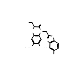 COc1cc2c(cc1OC)N(Cc1nc3cc(F)ccc3s1)C(=O)C(CC(=O)O)S2